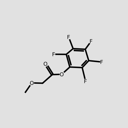 COCC(=O)Oc1c(F)c(F)c(F)c(F)c1F